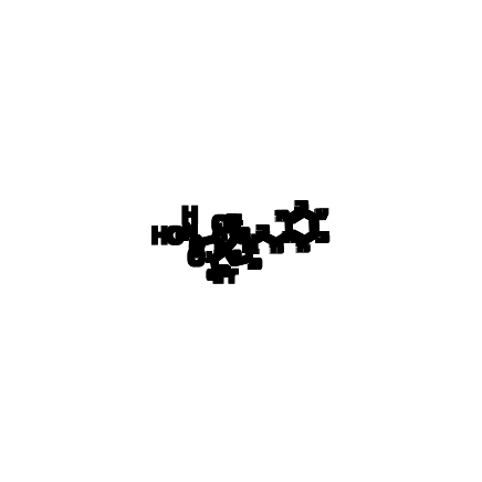 CC(C)CC1(C(C)C(=O)NO)CCN(CCc2ccccc2)C1=O